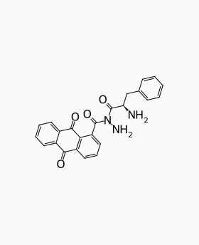 N[C@H](Cc1ccccc1)C(=O)N(N)C(=O)c1cccc2c1C(=O)c1ccccc1C2=O